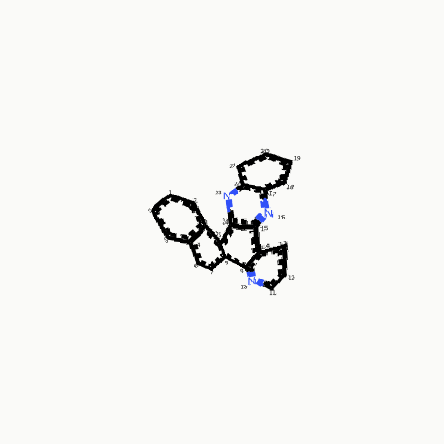 c1ccc2c(c1)ccc1c3ncccc3c3nc4ccccc4nc3c21